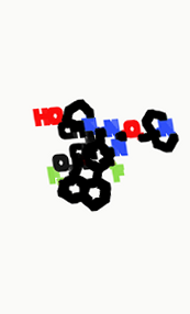 C#Cc1c(F)ccc2cccc(-c3c([N+](=O)[O-])cc4c(N5CCCC(C)(O)C5)nc(OCC56CCCN5CCC6)nc4c3F)c12